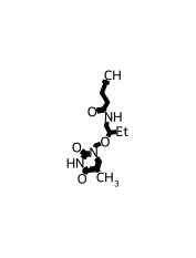 C#CCCC(=O)NCC(CC)OCn1cc(C)c(=O)[nH]c1=O